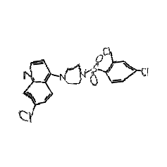 O=S(=O)(c1ccc(Cl)cc1Cl)N1CCN(c2ccnc3cc(Cl)ccc23)CC1